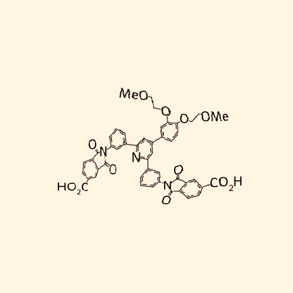 COCCOc1ccc(-c2cc(-c3cccc(N4C(=O)c5ccc(C(=O)O)cc5C4=O)c3)nc(-c3cccc(N4C(=O)c5ccc(C(=O)O)cc5C4=O)c3)c2)cc1OCCOC